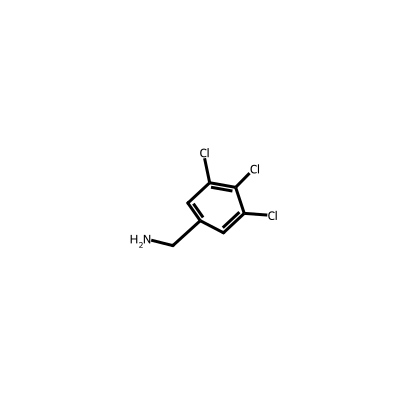 NCc1cc(Cl)c(Cl)c(Cl)c1